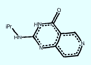 CC(C)Nc1nc2ccncc2c(=O)[nH]1